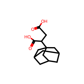 O=C(O)CC(C(=O)O)C12CC3CC(CC(C3)C1)C2